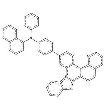 c1ccc(N(c2ccc(-c3ccc4c5c(ccc6cccnc65)c5nc6ccccc6n5c4c3)cc2)c2cccc3ccccc23)cc1